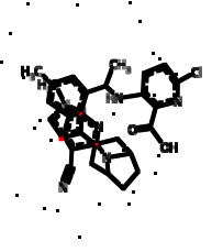 Cc1cc(C(C)Nc2ccc(Cl)nc2C(=O)O)c2nc(N3C4CCC3CC(c3ccn(C)n3)C4)c(C#N)nc2c1